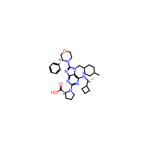 CC1CCC(Cn2c(N3CCOC[C@H]3c3ccccc3)nc3nc(N4CCC[C@H]4C(=O)O)nc(N[C@H](C)C4CCC4)c32)CC1